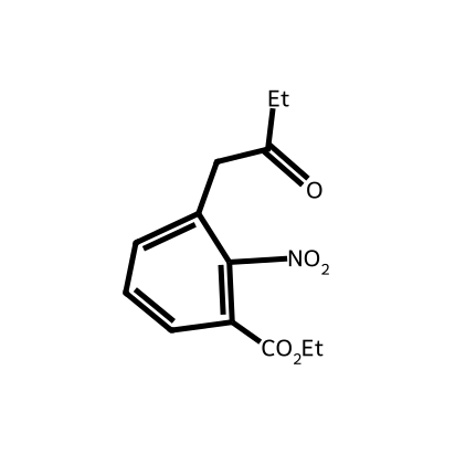 CCOC(=O)c1cccc(CC(=O)CC)c1[N+](=O)[O-]